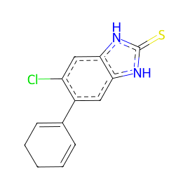 S=c1[nH]c2cc(Cl)c(C3=CCCC=C3)cc2[nH]1